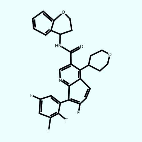 O=C(NC1CCOc2ccccc21)c1cnc2c(-c3cc(F)cc(F)c3F)c(F)ccc2c1C1CCOCC1